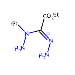 CCOC(=O)/C(=N/N)N(N)C(C)C